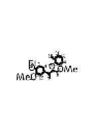 CCOc1ccc(C(C)C(COC)Oc2ccccc2C)cc1OC